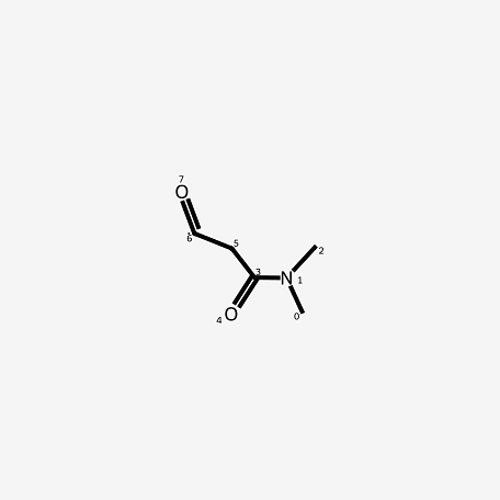 CN(C)C(=O)C[C]=O